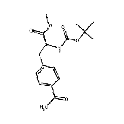 COC(=O)C(Cc1ccc(C(N)=O)cc1)NC(=O)OC(C)(C)C